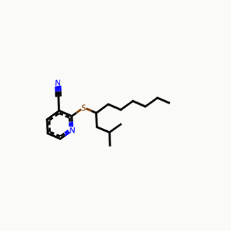 CCCCCCC(CC(C)C)Sc1ncccc1C#N